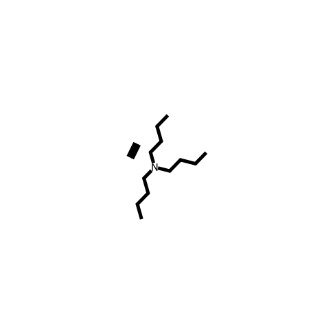 C#C.CCCCN(CCCC)CCCC